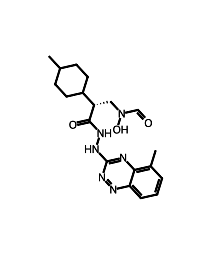 Cc1cccc2nnc(NNC(=O)[C@@H](CN(O)C=O)C3CCC(C)CC3)nc12